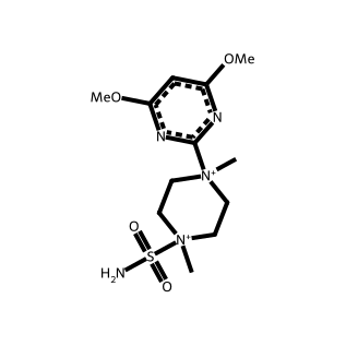 COc1cc(OC)nc([N+]2(C)CC[N+](C)(S(N)(=O)=O)CC2)n1